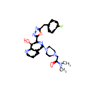 CN(C)C(=O)CN1CCN(c2nc(-c3nnc(Cc4ccc(F)cc4)o3)c(O)c3ncccc23)CC1